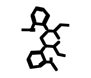 CCC(C)N(CN(c1ccccc1NC)C(C)CC)c1ccccc1NC